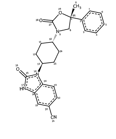 C[C@@]1(c2ccccc2)CN([C@H]2CC[C@H](n3c(=O)[nH]c4cc(C#N)ccc43)CC2)C(=O)O1